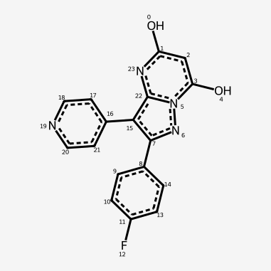 Oc1cc(O)n2nc(-c3ccc(F)cc3)c(-c3ccncc3)c2n1